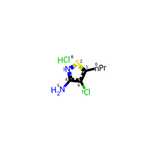 CCCc1snc(N)c1Cl.Cl